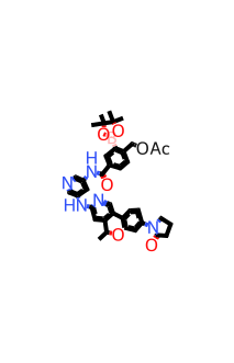 CC(=O)OCc1ccc(C(=O)Nc2cncc(Nc3cc4c(cn3)-c3ccc(N5CCCC5=O)cc3OC4C)c2)cc1B1OC(C)(C)C(C)(C)O1